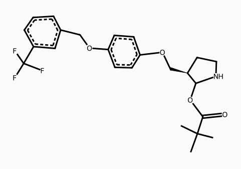 CC(C)(C)C(=O)OC1NCC[C@@H]1COc1ccc(OCc2cccc(C(F)(F)F)c2)cc1